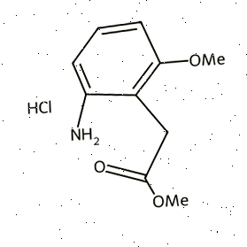 COC(=O)Cc1c(N)cccc1OC.Cl